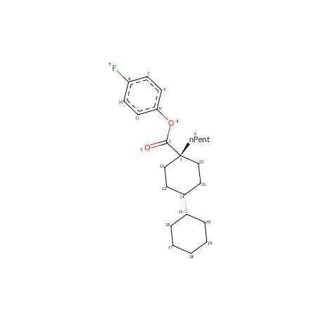 CCCCC[C@]1(C(=O)Oc2ccc(F)cc2)CC[C@@H](C2CCCCC2)CC1